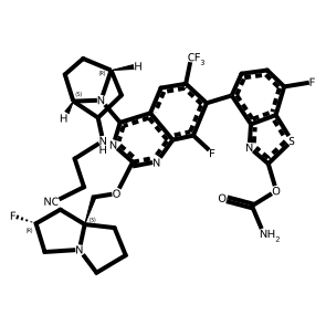 N#CCCNC1C[C@H]2CC[C@@H]1N2c1nc(OC[C@@]23CCCN2C[C@H](F)C3)nc2c(F)c(-c3ccc(F)c4sc(OC(N)=O)nc34)c(C(F)(F)F)cc12